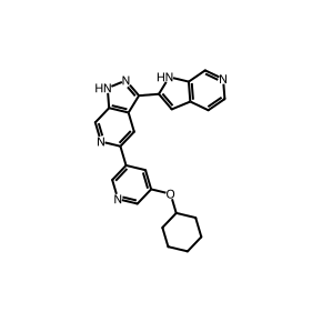 c1cc2cc(-c3n[nH]c4cnc(-c5cncc(OC6CCCCC6)c5)cc34)[nH]c2cn1